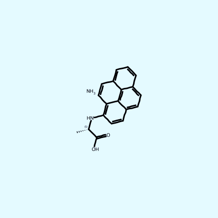 C[C@H](Nc1ccc2ccc3cccc4ccc1c2c34)C(=O)O.N